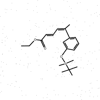 CCOC(=O)/C=C/C=C(/C)c1cccc(O[Si](C)(C)C(C)(C)C)c1